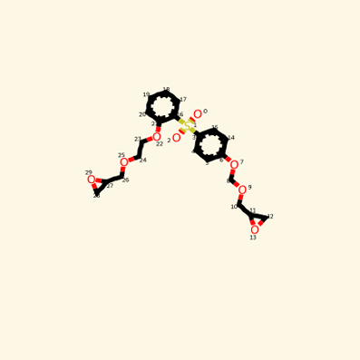 O=S(=O)(c1ccc(OCOCC2CO2)cc1)c1ccccc1OCCOCC1CO1